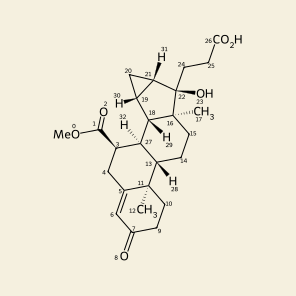 COC(=O)[C@@H]1CC2=CC(=O)CC[C@]2(C)[C@H]2CC[C@@]3(C)[C@@H]([C@@H]4C[C@@H]4[C@]3(O)CCC(=O)O)[C@H]12